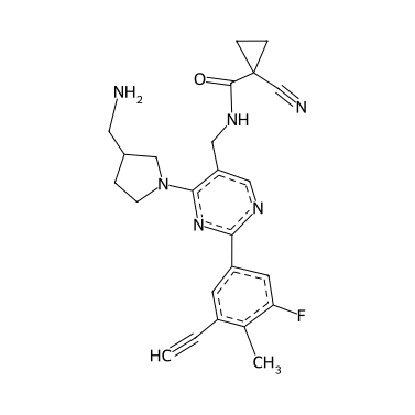 C#Cc1cc(-c2ncc(CNC(=O)C3(C#N)CC3)c(N3CCC(CN)C3)n2)cc(F)c1C